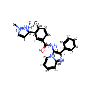 CN1C=CC(c2cc(C(=O)Nc3c(-c4ccccc4)nc4ccccn34)ccc2C(F)(F)F)N1